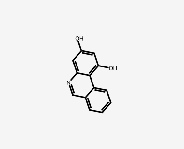 Oc1cc(O)c2c(c1)ncc1ccccc12